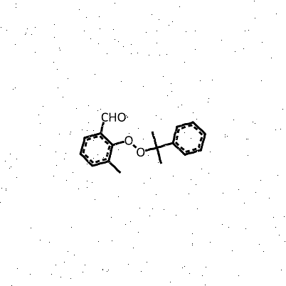 Cc1cccc([C]=O)c1OOC(C)(C)c1ccccc1